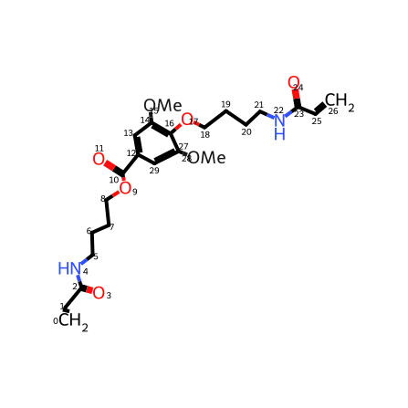 C=CC(=O)NCCCCOC(=O)c1cc(OC)c(OCCCCNC(=O)C=C)c(OC)c1